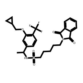 CC(NS(=O)(=O)CCCCCN1C(=O)c2ccccc2C1=O)c1ccc(C(F)(F)F)c(OCC2CC2)c1